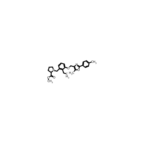 CCc1c(CN2CCCC2C(=O)OC)cccc1OCc1nc(-c2ccc(C)cc2)oc1C